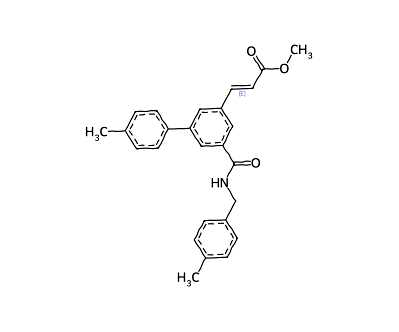 COC(=O)/C=C/c1cc(C(=O)NCc2ccc(C)cc2)cc(-c2ccc(C)cc2)c1